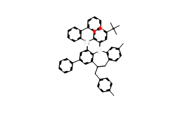 Cc1ccc(CC2Cc3ccc(C)cc3B3c4cc(C(C)(C)C)ccc4N(c4ccccc4-c4ccccc4)c4cc(-c5ccccc5)cc2c43)cc1